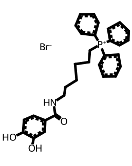 O=C(NCCCCCC[P+](c1ccccc1)(c1ccccc1)c1ccccc1)c1ccc(O)c(O)c1.[Br-]